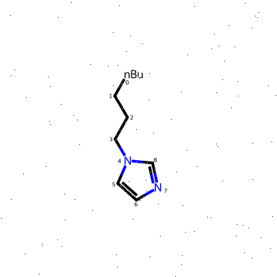 CCCCCCCn1c[c]nc1